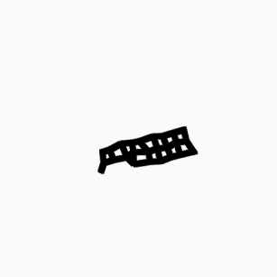 CC1CC2C1C13C2C2C4C5C6C7CC8CC9C%10C%11C%12C1C23C4%12C5%11C6%10C879